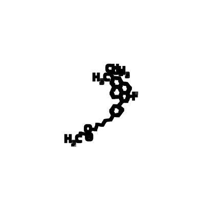 C=CC(=O)OCCCCCc1ccc(-c2cc(F)c3ccc4cc(C(C)(C)C)cc5ccc2c3c45)cc1